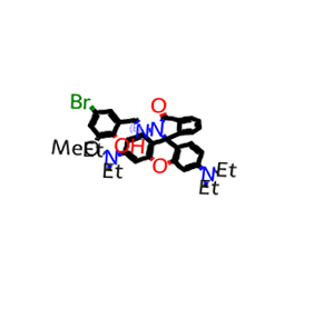 CCN(CC)c1ccc2c(c1)Oc1cc(N(CC)CC)ccc1C21c2ccccc2C(=O)N1/N=C/c1cc(Br)cc(OC)c1O